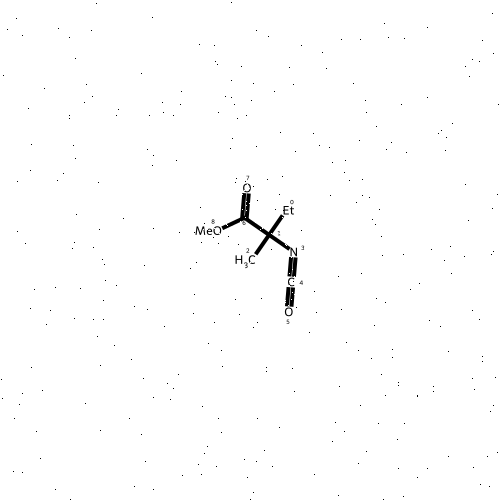 CCC(C)(N=C=O)C(=O)OC